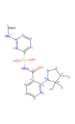 CCCC(C)Nc1cccc(S(=O)(=O)NC(=O)c2cccnc2N2CCC(C)C2(C)C)n1